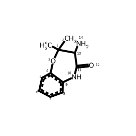 CC1(C)Oc2ccccc2NC(=O)C1N